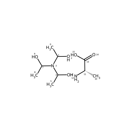 CC(O)N(C(C)O)C(C)O.C[C@H](N)C(=O)O